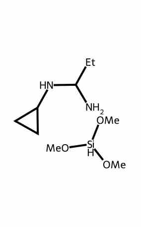 CCC(N)NC1CC1.CO[SiH](OC)OC